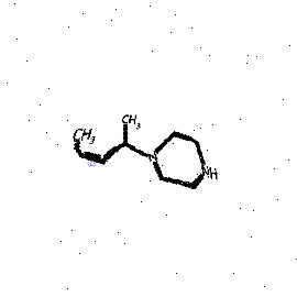 C/C=C\C(C)N1CCNCC1